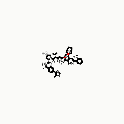 Cc1ncsc1-c1ccc([C@H](C)NC(=O)[C@@H]2C[C@@H](O)CN2C(=O)[C@@H](c2cc(OCCN3C4CCC3CC(n3nc(N)c5nnc(-c6ccccc6O)cc53)C4)no2)C(C)C)cc1